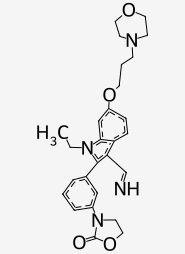 CCn1c(-c2cccc(N3CCOC3=O)c2)c(C=N)c2ccc(OCCCN3CCOCC3)cc21